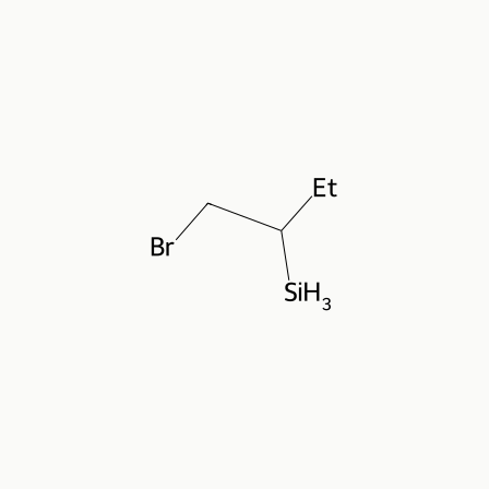 CCC([SiH3])CBr